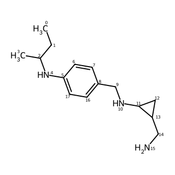 CCC(C)Nc1ccc(CNC2CC2CN)cc1